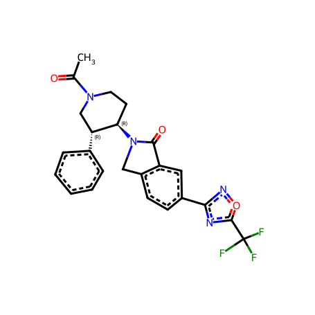 CC(=O)N1CC[C@@H](N2Cc3ccc(-c4noc(C(F)(F)F)n4)cc3C2=O)[C@H](c2ccccc2)C1